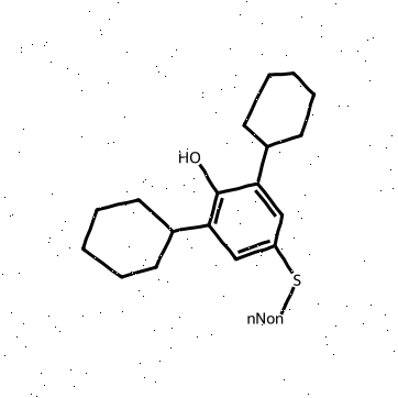 CCCCCCCCCSc1cc(C2CCCCC2)c(O)c(C2CCCCC2)c1